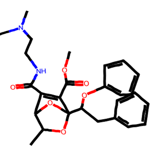 COC(=O)C1=C(C(=O)NCCN(C)C)C2OC1(C(Cc1ccccc1)Oc1ccccc1)OC2C